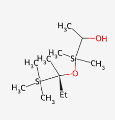 CC[C@@](C)(O[Si](C)(C)C(C)O)[Si](C)(C)C